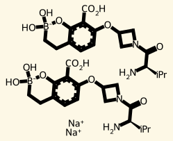 CC(C)[C@@H](N)C(=O)N1CC(Oc2ccc3c(c2C(=O)O)O[B-](O)(O)CC3)C1.CC(C)[C@@H](N)C(=O)N1CC(Oc2ccc3c(c2C(=O)O)O[B-](O)(O)CC3)C1.[Na+].[Na+]